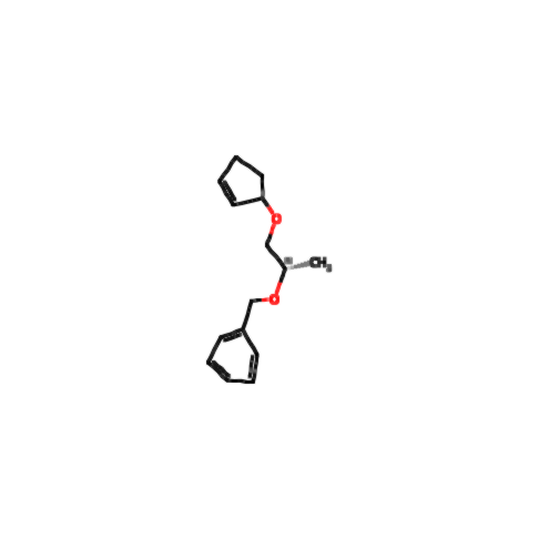 C[C@@H](COC1C=CCC1)OCc1ccccc1